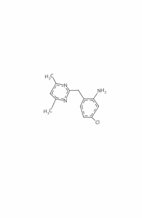 Cc1cc(C)nc(Cc2ccc(Cl)cc2N)n1